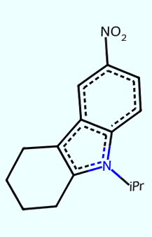 CC(C)n1c2c(c3cc([N+](=O)[O-])ccc31)CCCC2